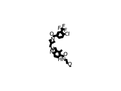 COCCNC(=O)c1ccc2nn(CC3CN(C(=O)c4ccc(Cl)c(C(F)(F)F)c4)C3)cc2c1C